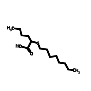 CCCCCCCCSC(CCCC)C(=O)O